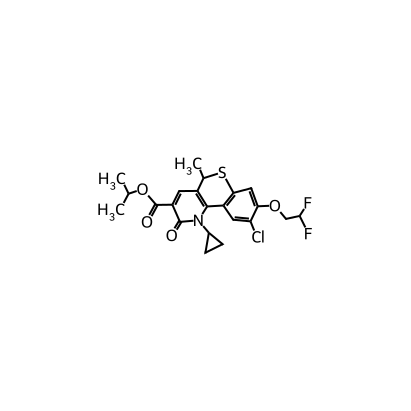 CC(C)OC(=O)c1cc2c(n(C3CC3)c1=O)-c1cc(Cl)c(OCC(F)F)cc1SC2C